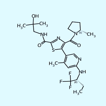 CC[C@@H](Nc1cc(C)c(-c2sc(C(=O)NCC(C)(C)O)nc2C(=O)N2CCC[C@@H]2C)cn1)C(F)(F)F